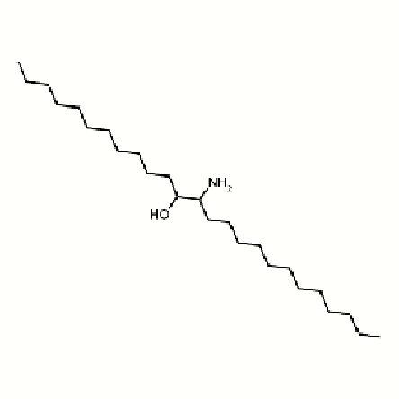 CCCCCCCCCCCCC(N)C(O)CCCCCCCCCCC